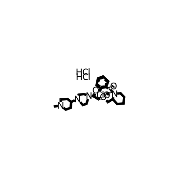 CN1CCC(N2CCN(C(=O)COCC3CCCCN3S(=O)(=O)c3ccccc3Cl)CC2)CC1.Cl.Cl